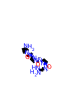 CN(CCC(=N)N)C(=O)n1ccc(N(C)C(=O)n2ccc(N(C)C(=O)n3ccc(N)c3)n2)n1